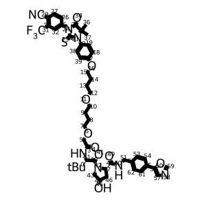 CC(C)(C)[C@H](NC(=O)COCCCCOCCCCOc1ccc(N2C(=S)N(c3ccc(C#N)c(C(F)(F)F)c3)C(=O)C2(C)C)cc1)C(=O)N1C[C@H](O)C[C@H]1C(=O)NCc1ccc(-c2cnco2)cc1